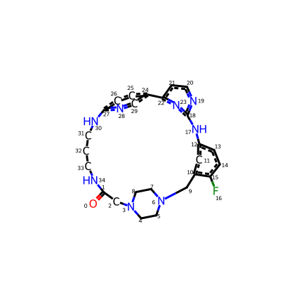 O=C1CN2CCN(CC2)Cc2cc(ccc2F)Nc2nccc(n2)-c2ccc(nc2)NCCCN1